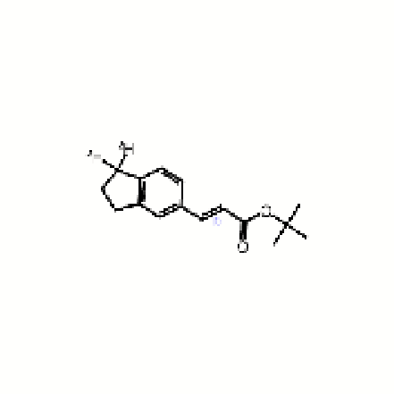 [2H]C1([2H])CCc2cc(/C=C/C(=O)OC(C)(C)C)ccc21